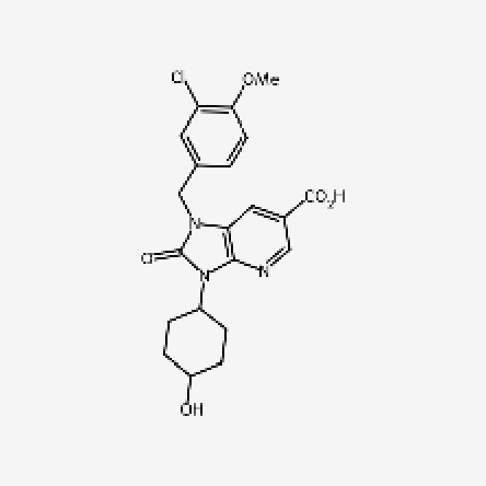 COc1ccc(Cn2c(=O)n(C3CCC(O)CC3)c3ncc(C(=O)O)cc32)cc1Cl